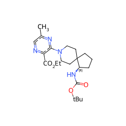 CCOC(=O)c1ncc(C)nc1N1CCC2(CCC[C@H]2NC(=O)OC(C)(C)C)CC1